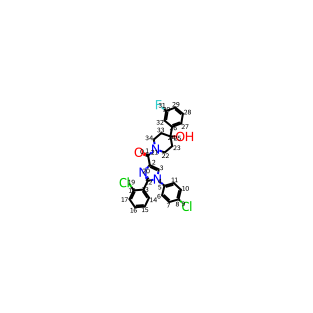 O=C(c1cn(-c2ccc(Cl)cc2)c(-c2ccccc2Cl)n1)N1CCC(O)(c2cccc(F)c2)CC1